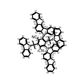 CC(C)(c1c(C#N)c(-n2c3ccccc3c3c4sc5ccccc5c4ccc32)c(C(C)(C)n2c3ccccc3c3ccccc32)c(-n2c3ccccc3c3c4sc5ccccc5c4ccc32)c1C#N)n1c2ccccc2c2ccccc21